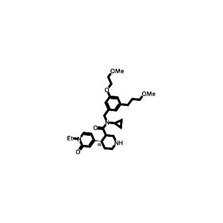 CCn1ccc([C@H]2CCNCC2C(=O)N(Cc2cc(CCCOC)cc(OCCOC)c2)C2CC2)cc1=O